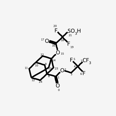 O=C(OCC(F)(F)C(F)(F)F)C12CC3CC(CC(OC(=O)C(F)(F)S(=O)(=O)O)(C3)C1)C2